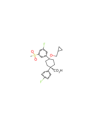 CS(=O)(=O)c1cc(F)cc([C@]2(OCC3CC3)CC[C@@](C(=O)O)(c3ccc(F)cc3)CC2)c1